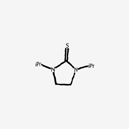 CC(C)N1CCN(C(C)C)C1=S